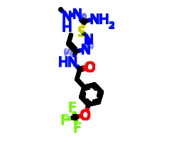 C/C=C(\N=N/S/C(N)=N\NC)NC(=O)Cc1cccc(OC(F)(F)F)c1